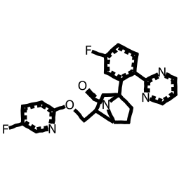 O=CN1C2CCC1(c1cc(F)ccc1-c1ncccn1)CC2COc1ccc(F)cn1